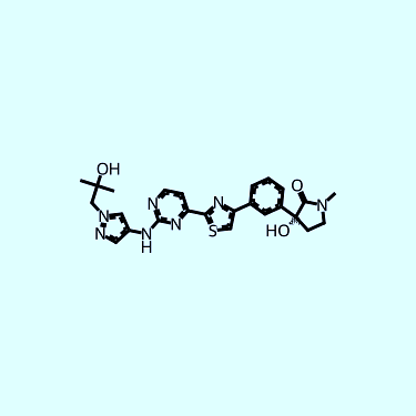 CN1CC[C@@](O)(c2cccc(-c3csc(-c4ccnc(Nc5cnn(CC(C)(C)O)c5)n4)n3)c2)C1=O